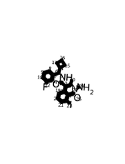 Cc1c(C(=O)N[C@H](c2cccc(F)c2)C2CCC2)c2cccc(I)c2c(=O)n1N